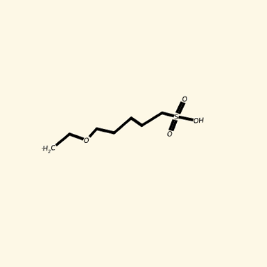 [CH2]COCCCCCS(=O)(=O)O